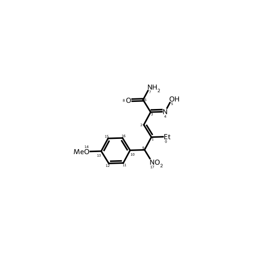 CCC(=CC(=NO)C(N)=O)C(c1ccc(OC)cc1)[N+](=O)[O-]